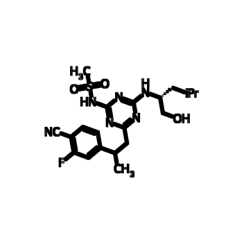 CC(C)C[C@H](CO)Nc1nc(CC(C)c2ccc(C#N)c(F)c2)nc(NS(C)(=O)=O)n1